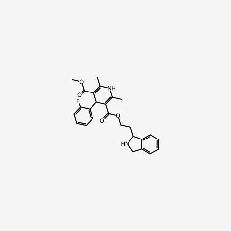 COC(=O)C1=C(C)NC(C)=C(C(=O)OCCC2NCc3ccccc32)C1c1ccccc1F